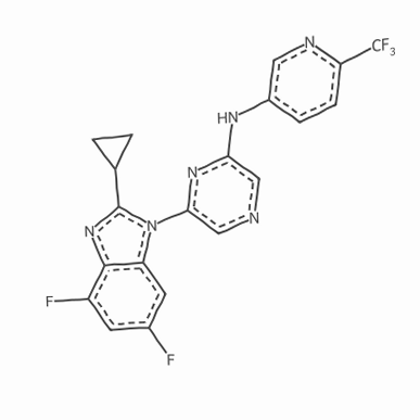 Fc1cc(F)c2nc(C3CC3)n(-c3cncc(Nc4ccc(C(F)(F)F)nc4)n3)c2c1